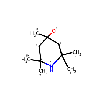 CC1([O])CC(C)(C)NC(C)(C)C1